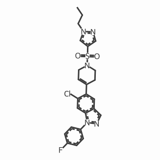 CCCn1cc(S(=O)(=O)N2CC=C(c3cc4cnn(-c5ccc(F)cc5)c4cc3Cl)CC2)cn1